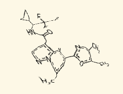 Cc1nc(-c2cc(C)n3ncc(C(=O)NC(C4CC4)C(F)(F)F)c3n2)oc1C